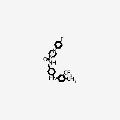 Cc1ccc(NC2CCC(CNC(=O)N3CCN(c4ccc(F)cc4)CC3)CC2)cc1C(F)(F)F